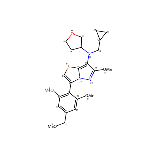 COCc1cc(OC)c(-c2csc3c(N(CC4CC4)C4CCOC4)c(OC)nn23)c(OC)c1